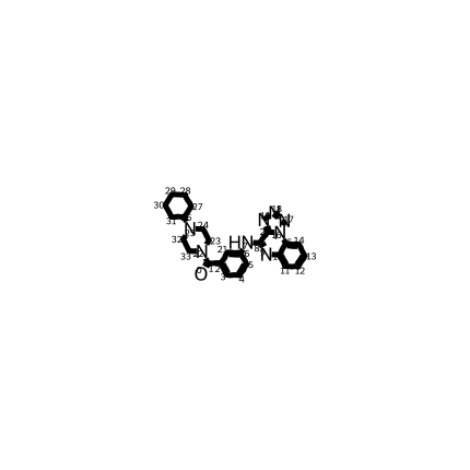 O=C(c1cccc(Nc2nc3ccccc3n3nnnc23)c1)N1CCN(C2CCCCC2)CC1